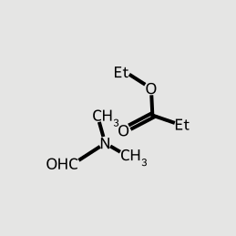 CCOC(=O)CC.CN(C)C=O